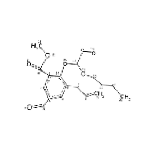 C=CCc1cc(C=O)cc(C(=O)OC)c1OC(C=O)OCCCC